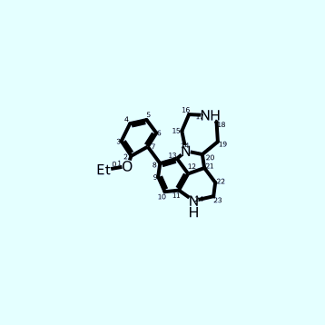 CCOc1ccccc1-c1ccc2c3c1N1CCNCCC1C3CCN2